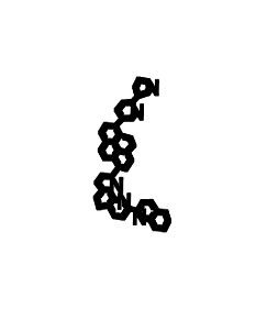 c1cncc(-c2ccc(-c3ccc4ccc5c(-c6ccc7ccc8ccc(-c9ccc%10ccccc%10n9)nc8c7n6)ccc6ccc3c4c65)cn2)c1